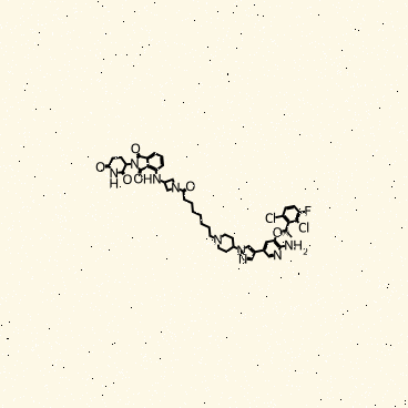 C[C@@H](Oc1cc(-c2cnn(C3CCN(CCCCCCCC(=O)N4CC(Nc5cccc6c5C(=O)N(C5CCC(=O)NC5=O)C6=O)C4)CC3)c2)cnc1N)c1c(Cl)ccc(F)c1Cl